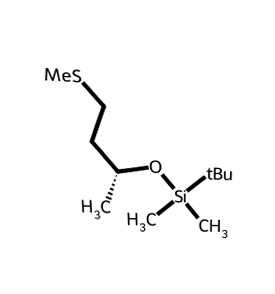 CSCC[C@@H](C)O[Si](C)(C)C(C)(C)C